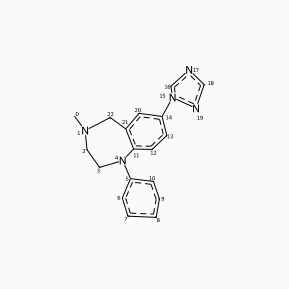 CN1CCN(c2ccccc2)c2ccc(-n3cncn3)cc2C1